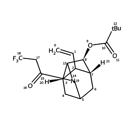 C=CC1[C@@H]2CC3C[C@H]1[C@H](OC(=O)C(C)(C)C)C2N(C(=O)CC(F)(F)F)C3